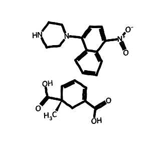 C[C@@]1(C(=O)O)C=CC=C(C(=O)O)C1.O=[N+]([O-])c1ccc(N2CCNCC2)c2ccccc12